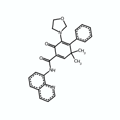 CC1(C)C=C(C(=O)Nc2cccc3cccnc23)C(=O)C(N2CCOC2)=C1c1ccccc1